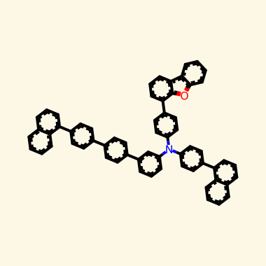 c1cc(-c2ccc(-c3ccc(-c4cccc5ccccc45)cc3)cc2)cc(N(c2ccc(-c3cccc4ccccc34)cc2)c2ccc(-c3cccc4c3oc3ccccc34)cc2)c1